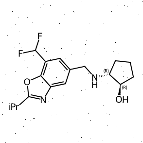 CC(C)c1nc2cc(CN[C@@H]3CCC[C@H]3O)cc(C(F)F)c2o1